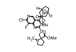 COC(=O)C1(COc2nc(N3C[C@H]4CC[C@@H](C3)N4C(=O)OC(C)(C)C)c3cnc(Cl)c(F)c3n2)CCCN1C